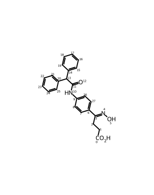 O=C(O)CCC(=NO)c1ccc(NC(=O)C(c2ccccc2)c2ccccc2)cc1